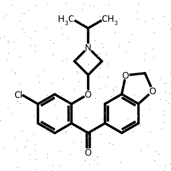 CC(C)N1CC(Oc2cc(Cl)ccc2C(=O)c2ccc3c(c2)OCO3)C1